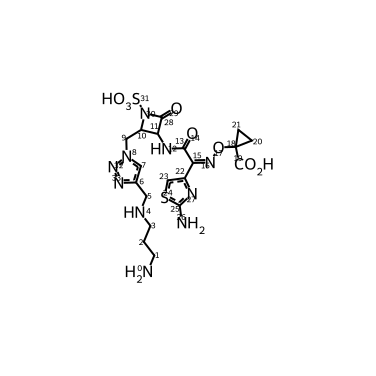 NCCCNCc1cn(CC2C(NC(=O)/C(=N\OC3(C(=O)O)CC3)c3csc(N)n3)C(=O)N2S(=O)(=O)O)nn1